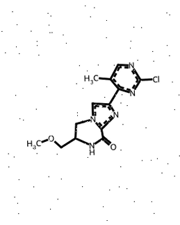 COCC1Cn2cc(-c3nc(Cl)ncc3C)nc2C(=O)N1